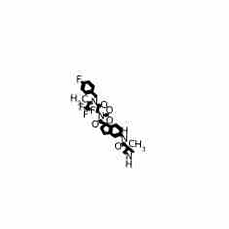 C[C@H](N(Cc1ccc(F)cc1)C(=O)CN1C(=O)OC2(CCc3cc(NC(=O)C4(C)CNC4)ccc32)C1=O)C(F)(F)F